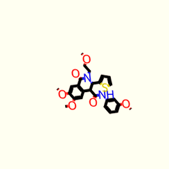 COCCN1C(=O)c2cc(OC)c(OC)cc2C(C(=O)Nc2cccc(OC)c2)C1c1cccs1